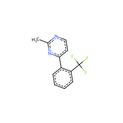 Cc1nccc(-c2ccccc2C(F)(F)F)n1